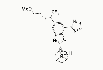 COCCOC(c1cc(-c2nccs2)c2oc(N3CC4CC(C3)N4C(=O)O)nc2c1)C(F)(F)F